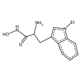 CCn1cc(CC(N)C(=O)NO)c2ccccc21